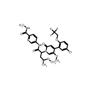 CNC(=O)c1ccc(NC(=O)C(C[C@H](C)OC)n2cc(OC)c(-c3cc(Cl)ccc3OCC(F)(F)F)cc2=O)cn1